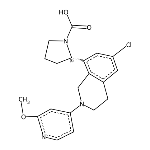 COc1cc(N2CCc3cc(Cl)cc([C@@H]4CCCN4C(=O)O)c3C2)ccn1